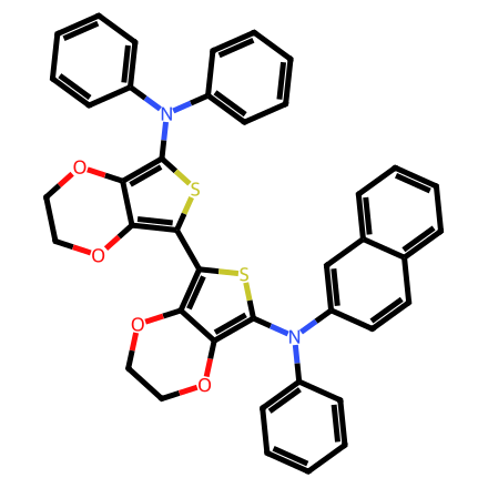 c1ccc(N(c2ccccc2)c2sc(-c3sc(N(c4ccccc4)c4ccc5ccccc5c4)c4c3OCCO4)c3c2OCCO3)cc1